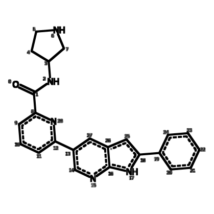 O=C(NC1CCNC1)c1cccc(-c2cnc3[nH]c(-c4ccccc4)cc3c2)n1